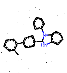 Cc1ccccc1-c1ccc(C2Nc3ccccc3N2c2ccccc2)cc1